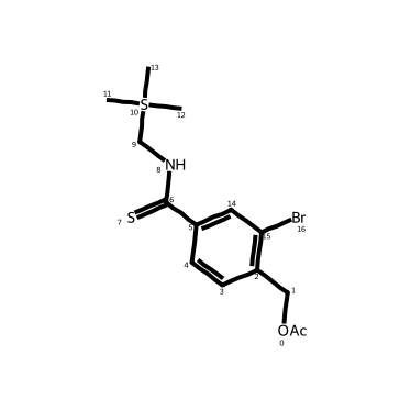 CC(=O)OCc1ccc(C(=S)NCS(C)(C)C)cc1Br